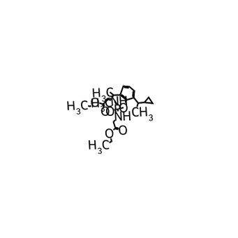 CCOC(=O)CNP(=O)(NCC(=O)OCC)Oc1c(C(C)C)cccc1C(C)C1CC1